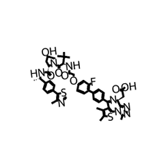 Cc1ncsc1-c1ccc([C@H](C)NC(=O)[C@@H]2C[C@@H](O)CN2C(=O)[C@@H](NC(=O)COc2ccc(-c3ccc(C4=N[C@@H](CC(=O)O)c5nnc(C)n5-c5sc(C)c(C)c54)cc3)c(F)c2)C(C)(C)C)cc1